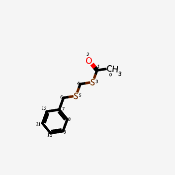 CC(=O)SCSCc1ccccc1